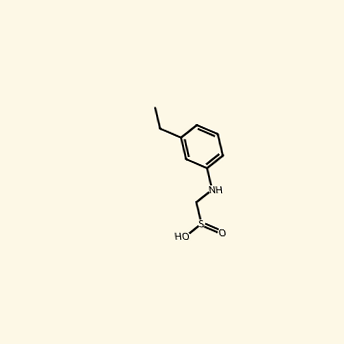 CCc1cccc(NCS(=O)O)c1